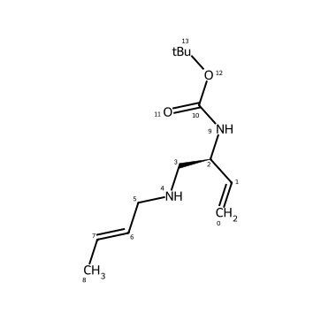 C=C[C@@H](CNCC=CC)NC(=O)OC(C)(C)C